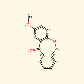 CC(C)Oc1ccc2c(c1)C(=O)c1ccccc1CO2